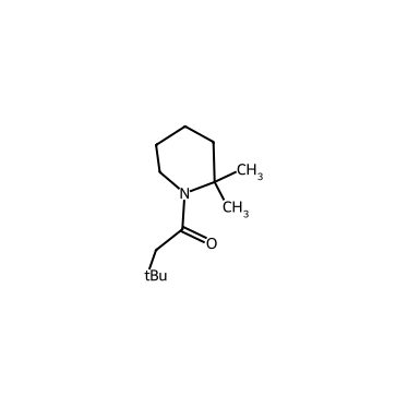 CC(C)(C)CC(=O)N1CCCCC1(C)C